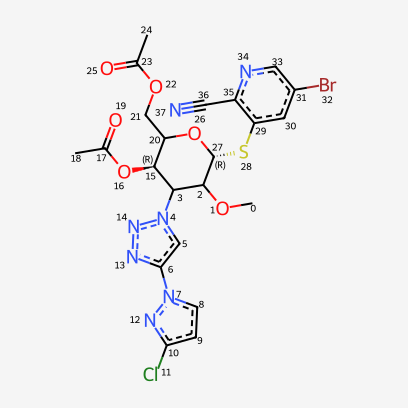 COC1C(n2cc(-n3ccc(Cl)n3)nn2)[C@@H](OC(C)=O)C(COC(C)=O)O[C@@H]1Sc1cc(Br)cnc1C#N